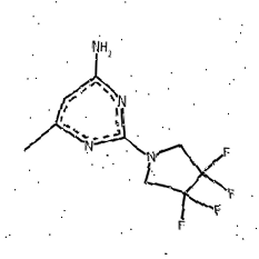 Cc1cc(N)nc(N2CC(F)(F)C(F)(F)C2)n1